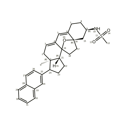 C[C@]12CC=C3C=C4CC[C@@H](NS(C)(=O)=O)C[C@]45CCC3(O5)[C@@H]1CCC2c1ccc2ccccc2c1